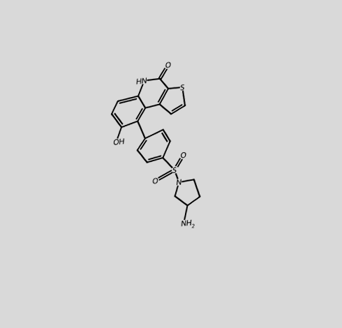 NC1CCN(S(=O)(=O)c2ccc(-c3c(O)ccc4[nH]c(=O)c5sccc5c34)cc2)C1